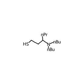 CCCCN(CCCC)C(CCC)CCS